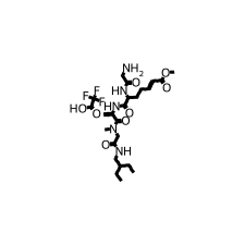 C=C(NC(=O)C(CCC=CC(=O)OC)NC(=O)CN)C(=O)N(C)CC(=O)NCC(CC)CC.O=C(O)C(F)(F)F